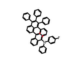 Fc1ccc(N(c2ccccc2)c2ccc(-c3cccc4c(-c5ccccc5)c(-c5ccccc5)c(-c5ccccc5)c(-c5ccccc5)c34)c3ccccc23)cc1